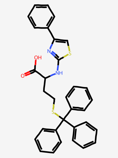 O=C(O)C(CCSC(c1ccccc1)(c1ccccc1)c1ccccc1)Nc1nc(-c2ccccc2)cs1